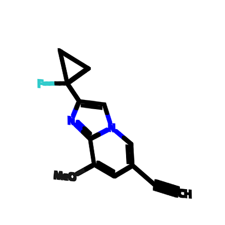 C#Cc1cc(OC)c2nc(C3(F)CC3)cn2c1